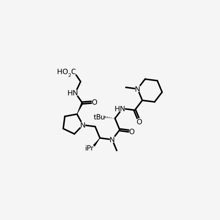 CC(C)[C@@H](CN1CCC[C@H]1C(=O)NCC(=O)O)N(C)C(=O)[C@@H](NC(=O)C1CCCCN1C)C(C)(C)C